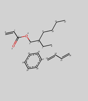 C=CC(=O)OCC(CC)CCCC.C=CC=C.c1ccccc1